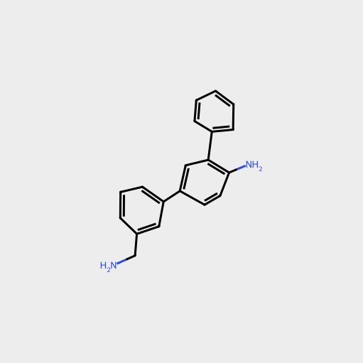 NCc1cccc(-c2ccc(N)c(-c3ccccc3)c2)c1